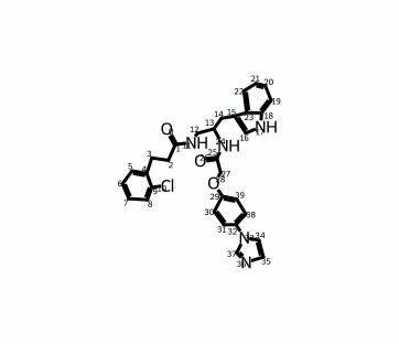 O=C(CCc1ccccc1Cl)NCC(Cc1c[nH]c2ccccc12)NC(=O)COc1ccc(-n2ccnc2)cc1